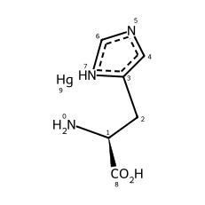 N[C@@H](Cc1cnc[nH]1)C(=O)O.[Hg]